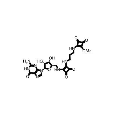 COc1c(NCCCNc2c(NC[C@H]3O[C@@H](n4cnc5c(=O)[nH]c(N)nc54)[C@H](O)[C@@H]3O)c(=O)c2=O)c(=O)c1=O